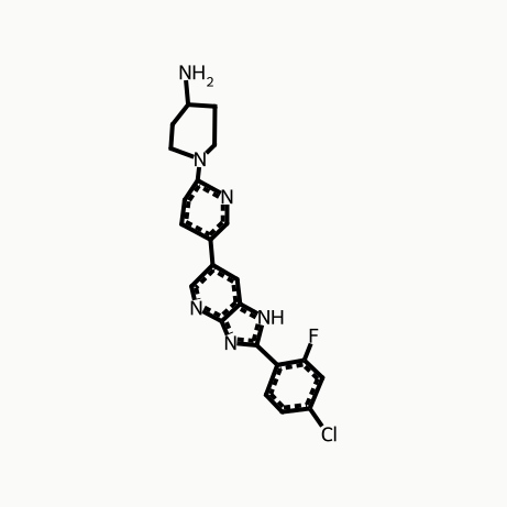 NC1CCN(c2ccc(-c3cnc4nc(-c5ccc(Cl)cc5F)[nH]c4c3)cn2)CC1